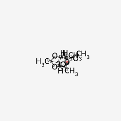 COCOC1[C@@H]2OC3(C)OC(C2C)[C@H](C)[C@H]1O3